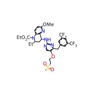 CCOC(=O)N1c2ccc(OC)nc2[C@@H](Nc2ncc(OCCS(C)(=O)=O)c(Cc3cc(C(F)(F)F)cc(C(F)(F)F)c3)n2)C[C@H]1CC